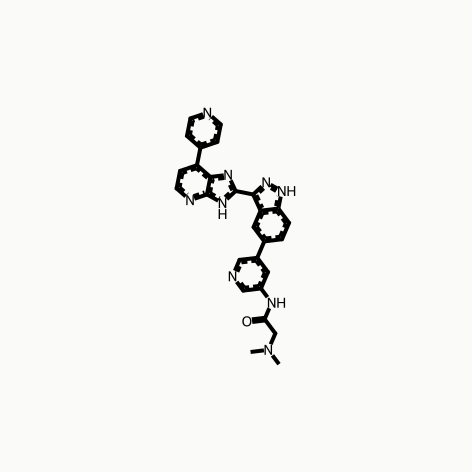 CN(C)CC(=O)Nc1cncc(-c2ccc3[nH]nc(-c4nc5c(-c6ccncc6)ccnc5[nH]4)c3c2)c1